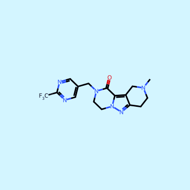 CN1CCc2nn3c(c2C1)C(=O)N(Cc1cnc(C(F)(F)F)nc1)CC3